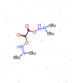 CC(C)(C)N(NOC(=O)C(=O)ONN(C(C)(C)C)C(C)(C)C)C(C)(C)C